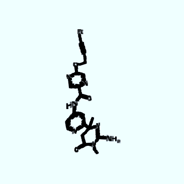 CCC#CCOc1cnc(C(=O)Nc2ccnc(C3(C)CC(=O)N(C)C(N)=N3)c2)cn1